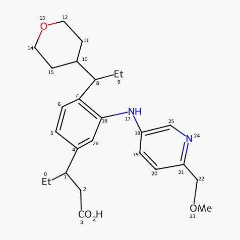 CCC(CC(=O)O)c1ccc(C(CC)C2CCOCC2)c(Nc2ccc(COC)nc2)c1